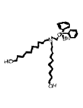 CC(C)(C)[Si](OCCN(CCCCCCCCCCO)CCCCCCCCCCO)(c1ccccc1)c1ccccc1